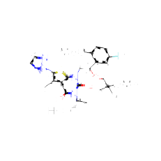 COc1ccc(F)cc1[C@H](Cn1c(=O)n([C@H](C)C(=O)O)c(=O)c2c(C)c(-n3nccn3)sc21)OCC(C)(C)OC